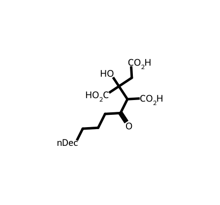 CCCCCCCCCCCCCC(=O)C(C(=O)O)C(O)(CC(=O)O)C(=O)O